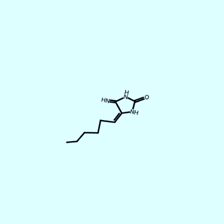 CCCCC/C=C1/NC(=O)NC1=N